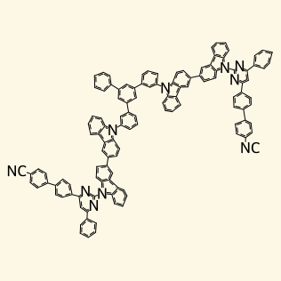 [C-]#[N+]c1ccc(-c2ccc(-c3cc(-c4ccccc4)nc(-n4c5ccccc5c5cc(-c6ccc7c(c6)c6ccccc6n7-c6cccc(-c7cc(-c8ccccc8)cc(-c8cccc(-n9c%10ccccc%10c%10cc(-c%11ccc%12c(c%11)c%11ccccc%11n%12-c%11nc(-c%12ccccc%12)cc(-c%12ccc(-c%13ccc(C#N)cc%13)cc%12)n%11)ccc%109)c8)c7)c6)ccc54)n3)cc2)cc1